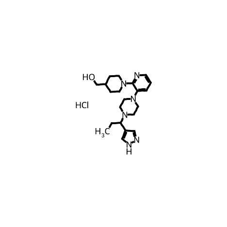 CCC(c1cn[nH]c1)N1CCN(c2cccnc2N2CCC(CO)CC2)CC1.Cl